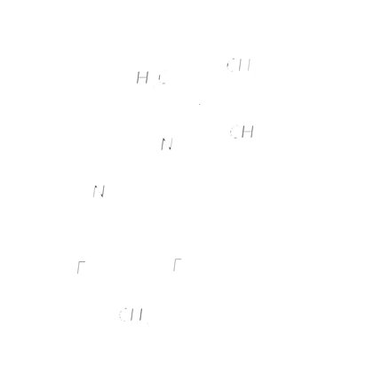 CC(F)(F)c1cn(C(C)(C)C)cn1